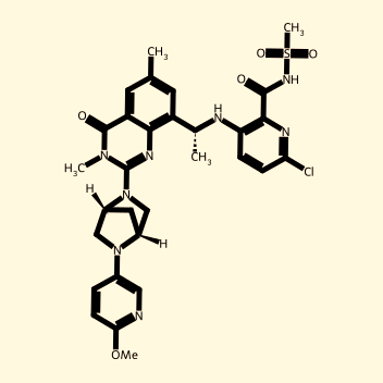 COc1ccc(N2C[C@H]3C[C@@H]2CN3c2nc3c([C@@H](C)Nc4ccc(Cl)nc4C(=O)NS(C)(=O)=O)cc(C)cc3c(=O)n2C)cn1